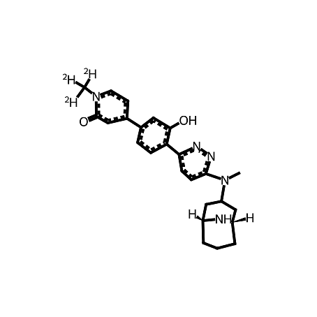 [2H]C([2H])([2H])n1ccc(-c2ccc(-c3ccc(N(C)C4C[C@H]5CCC[C@@H](C4)N5)nn3)c(O)c2)cc1=O